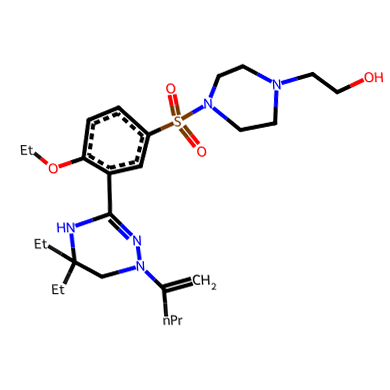 C=C(CCC)N1CC(CC)(CC)NC(c2cc(S(=O)(=O)N3CCN(CCO)CC3)ccc2OCC)=N1